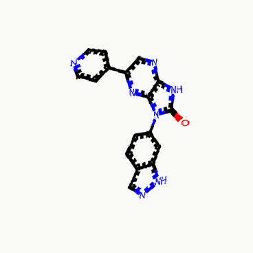 O=c1[nH]c2ncc(-c3ccncc3)nc2n1-c1ccc2cn[nH]c2c1